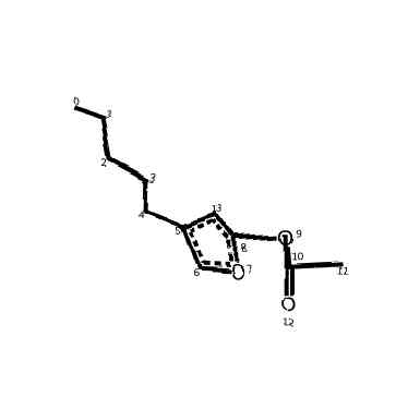 CCCCCc1coc(OC(C)=O)c1